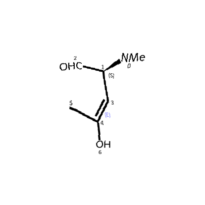 CN[C@H](C=O)/C=C(\C)O